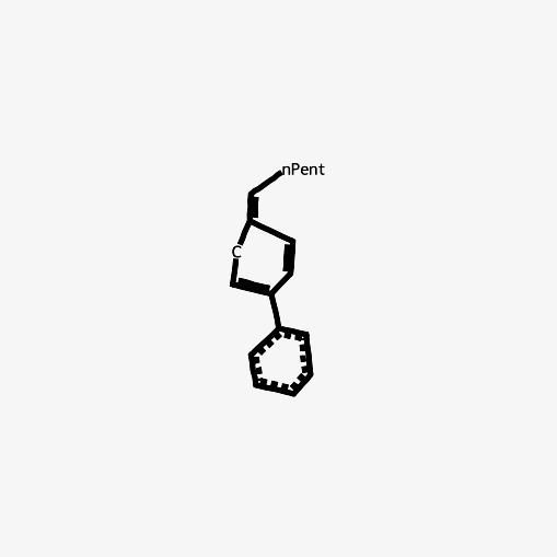 CCCCCC=C1C=CC(c2ccccc2)=CC1